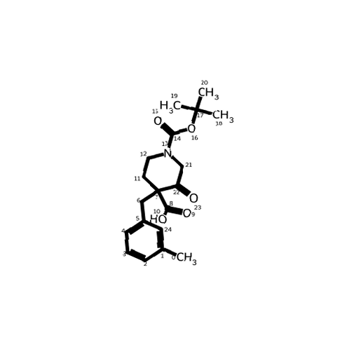 Cc1cccc(CC2(C(=O)O)CCN(C(=O)OC(C)(C)C)CC2=O)c1